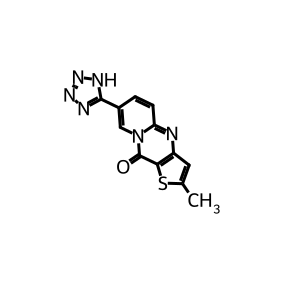 Cc1cc2nc3ccc(-c4nnn[nH]4)cn3c(=O)c2s1